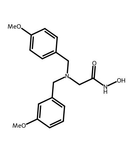 COc1ccc(CN(CC(=O)NO)Cc2cccc(OC)c2)cc1